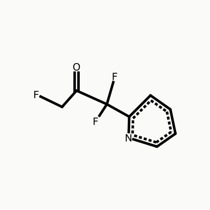 O=C(CF)C(F)(F)c1ccccn1